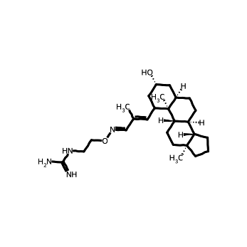 CC(/C=N/OCCNC(=N)N)=C\C1C[C@H](O)C[C@H]2CC[C@H]3[C@@H]4CCC[C@@]4(C)CC[C@@H]3[C@@]12C